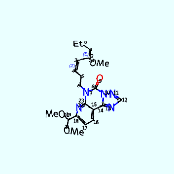 CC/C=C(\C=C/CCn1c(=O)n2ncnc2c2ccc(C(OC)OC)nc21)OC